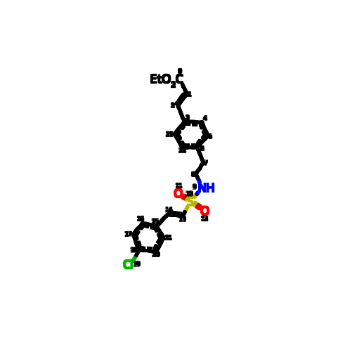 CCOC(=O)/C=C/c1ccc(CCNS(=O)(=O)C=Cc2ccc(Cl)cc2)cc1